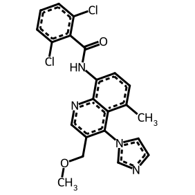 COCc1cnc2c(NC(=O)c3c(Cl)cccc3Cl)ccc(C)c2c1-n1ccnc1